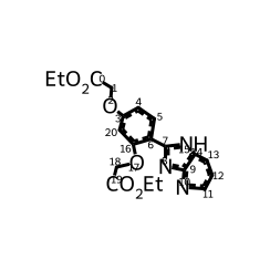 CCOC(=O)COc1ccc(-c2nc3ncccc3[nH]2)c(OCC(=O)OCC)c1